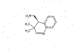 CC1(C)C=Nc2ccccc2[C@@H]1C[N+](=O)[O-]